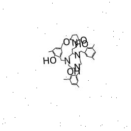 Cc1cc(C)c(O)c(CN2CCN(Cc3cc(C)cc(C)c3O)CC(CCN3C(=O)CCC3=O)N(Cc3cc(C)cc(C)c3O)CC2)c1